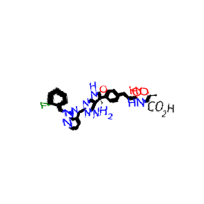 C[C@H](O)[C@@H](NC(=O)CCc1ccc([C@]2(C)C(=O)Nc3nc(-c4nn(Cc5ccccc5F)c5ncccc45)nc(N)c32)cc1)C(=O)O